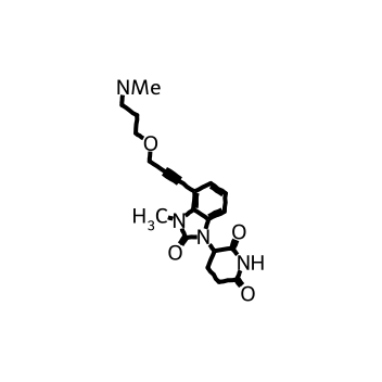 CNCCCOCC#Cc1cccc2c1n(C)c(=O)n2C1CCC(=O)NC1=O